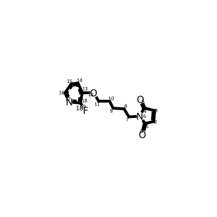 O=C1C=CC(=O)N1CCCCCOc1cccnc1[18F]